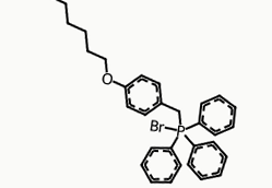 CCCCCCOc1ccc(CP(Br)(c2ccccc2)(c2ccccc2)c2ccccc2)cc1